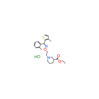 CCOC(=O)[C@H]1CCCN(CCO/N=C(\c2ccccc2C)c2sccc2C)C1.Cl